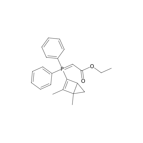 CCOC(=O)C=P(C1=C(C)C2(C)CC12)(c1ccccc1)c1ccccc1